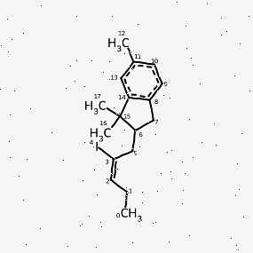 CC/C=C(/I)CC1Cc2ccc(C)cc2C1(C)C